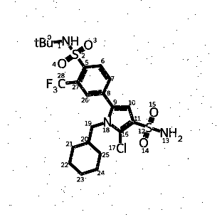 CC(C)(C)NS(=O)(=O)c1ccc(-c2cc(S(N)(=O)=O)c(Cl)n2CC2CCCCC2)cc1C(F)(F)F